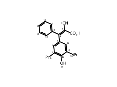 CC(C)c1cc(C(=C(C#N)C(=O)O)c2ccccc2)cc(C(C)C)c1O